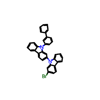 Brc1ccc2c3ccccc3n(-c3ccc4c5ccccc5n(-c5cccc(-c6ccccc6)c5)c4c3)c2c1